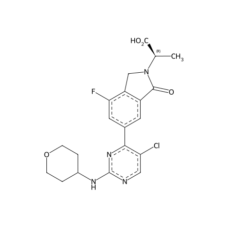 C[C@H](C(=O)O)N1Cc2c(F)cc(-c3nc(NC4CCOCC4)ncc3Cl)cc2C1=O